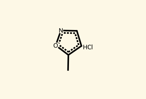 Cc1ccno1.Cl